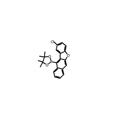 CC1(C)OB(c2c3ccccc3cc3oc4ccc(Cl)cc4c23)OC1(C)C